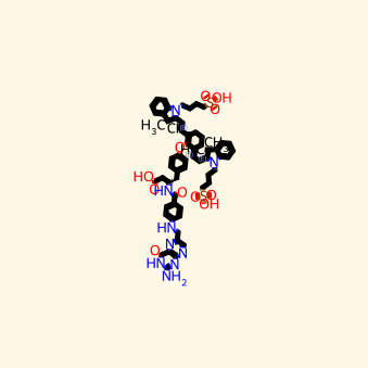 CC1(C)C(/C=C/C2=C(Oc3ccc(C[C@H](CC(=O)O)NC(=O)c4ccc(NCc5cnc6nc(N)[nH]c(=O)c6n5)cc4)cc3)C(=C/C=C3/N(CCCCS(=O)(=O)O)c4ccccc4C3(C)C)/CCC2)=[N+](CCCCS(=O)(=O)O)c2ccccc21